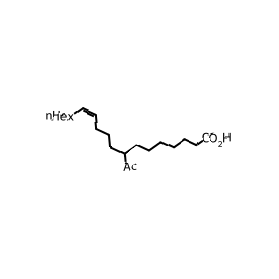 CCCCCC/C=C\CCCC(CCCCCCC(=O)O)C(C)=O